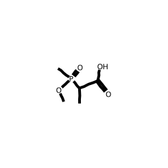 COP(C)(=O)C(C)C(=O)O